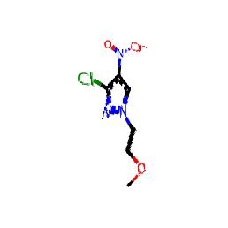 COCCn1cc([N+](=O)[O-])c(Cl)n1